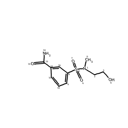 CN(CCO)S(=O)(=O)c1cccc(C(N)=O)c1